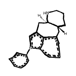 c1ccc(-n2cc3c4c(cccc42)[C@H]2CCCN[C@@H]2C3)cc1